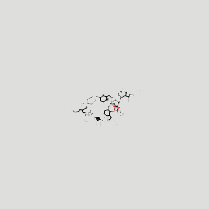 Cc1c(CN2CCC(Nc3nc(CNC45CC(Cn6c(C#N)cc7c(C)c(CN8CCC(Nc9ncnc%10sc(CC(F)(F)F)cc9%10)CC8)ccc76)(C4)[C@@H]5C)nc4sc(CC(F)(F)F)cc34)CC2)ccc2c1cc(C#N)n2CCC12CC(N)(C1)C2